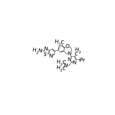 Cc1cc(-c2cnc3sc(N)nc3c2)cc2c1OCCN(c1nc(CN(C)C)nc(C(C)C)c1C)C2